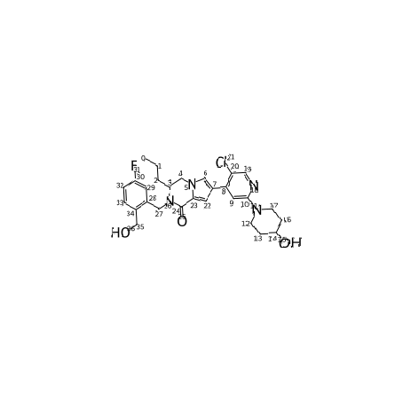 CCCC1Cn2cc(-c3cc(N4CCC(O)CC4)ncc3Cl)cc2C(=O)N1Cc1cc(F)ccc1CO